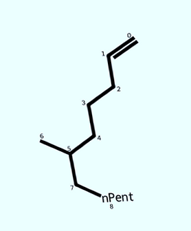 C=CCCCC(C)CCCCCC